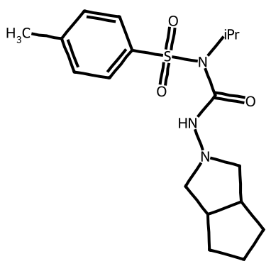 Cc1ccc(S(=O)(=O)N(C(=O)NN2CC3CCCC3C2)C(C)C)cc1